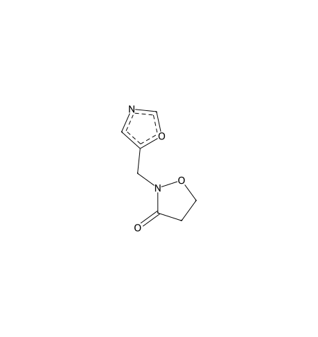 O=C1CCON1Cc1cnco1